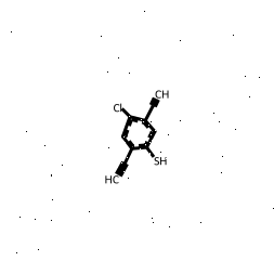 C#Cc1cc(Cl)c(C#C)cc1S